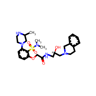 CC1CN(c2cccc(OCC(=O)NC[C@@H](O)CN3CCc4ccccc4C3)c2S(=O)(=O)N(C)C)CCN1